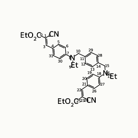 CCOC(=O)/C(C#N)=C/c1ccc(N(CC)Cc2ccc(CN(CC)c3ccc(/C=C(\C#N)C(=O)OCC)cc3)cc2)cc1